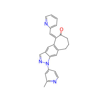 Cc1cc(-n2ncc3cc4c(cc32)CCCC(=O)C4=Cc2ccccn2)ccn1